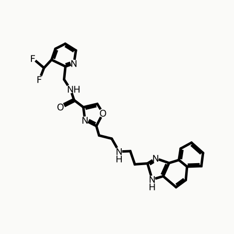 O=C(NCc1ncccc1C(F)F)c1coc(CCNCCc2nc3c(ccc4ccccc43)[nH]2)n1